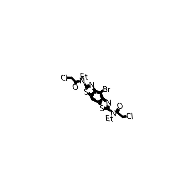 CCN(C(=O)CCl)c1nc2c(Br)c3nc(N(CC)C(=O)CCl)sc3cc2s1